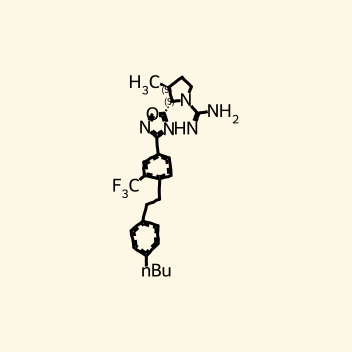 CCCCc1ccc(CCc2ccc(-c3noc([C@@H]4[C@@H](C)CCN4C(=N)N)n3)cc2C(F)(F)F)cc1